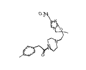 Cc1ccc(CC(=O)N2CCN(CC3(C)Cn4cc([N+](=O)[O-])nc4O3)CC2)cc1